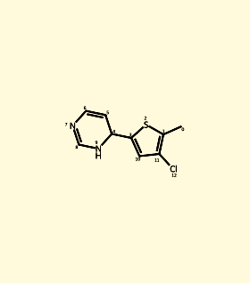 Cc1sc(C2C=CN=CN2)cc1Cl